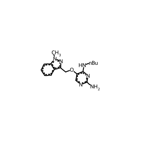 CCCCNc1nc(N)ncc1OCc1nn(C)c2ccccc12